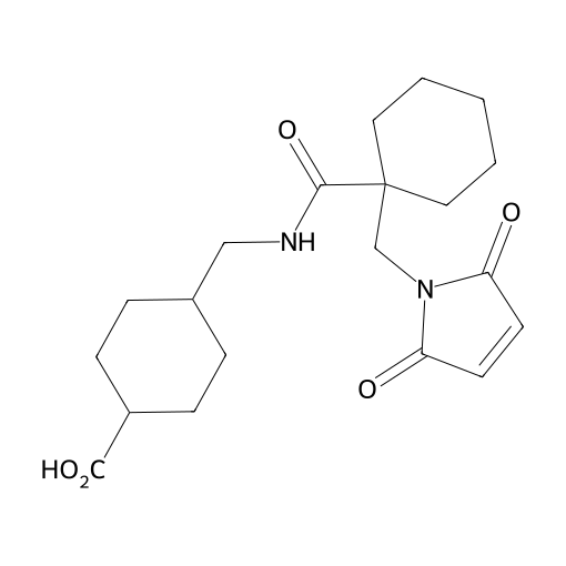 O=C(O)C1CCC(CNC(=O)C2(CN3C(=O)C=CC3=O)CCCCC2)CC1